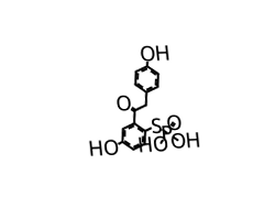 O=C(Cc1ccc(O)cc1)c1cc(O)ccc1SP(=O)(O)O